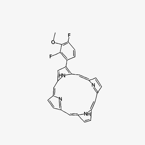 COc1c(F)ccc(-c2cc3cc4nc(cc5ccc(cc6nc(cc2[nH]3)C=C6)[nH]5)C=C4)c1F